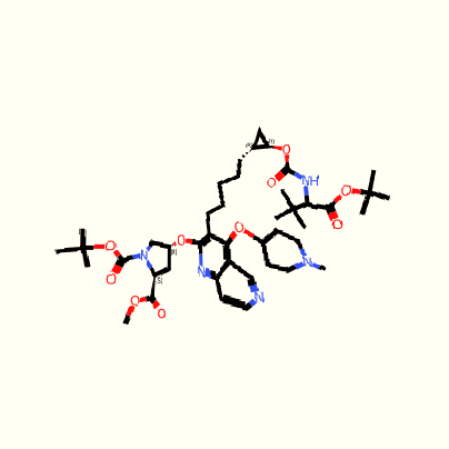 COC(=O)[C@@H]1C[C@@H](Oc2nc3ccncc3c(OC3CCN(C)CC3)c2CCCCC[C@@H]2C[C@H]2OC(=O)NC(C(=O)OC(C)(C)C)C(C)(C)C)CN1C(=O)OC(C)(C)C